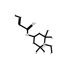 CC=CC(=O)OC1CC(C)(C)N(CC)C(C)(C)C1